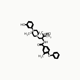 Cc1cc(C(=O)NC(CN2CCN(c3cccc(O)c3)[C@@H](C)C2)C(C)C)ccc1Oc1ccccc1.Cl.Cl